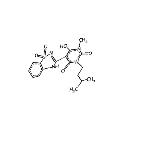 CC(C)CCn1c(=O)c(C2=NS(=O)(=O)c3ccccc3N2)c(O)n(C)c1=O